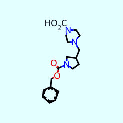 O=C(O)N1CCN(CC2CCN(C(=O)OCc3ccccc3)C2)CC1